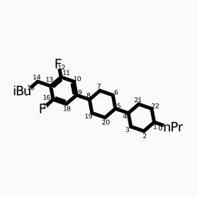 CCCC1CCC(C2CCC(c3cc(F)c(CC(C)CC)c(F)c3)CC2)CC1